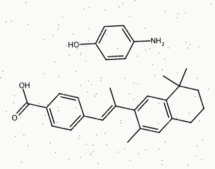 CC(=Cc1ccc(C(=O)O)cc1)c1cc2c(cc1C)CCCC2(C)C.Nc1ccc(O)cc1